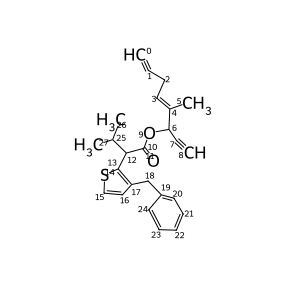 C#CCC=C(C)C(C#C)OC(=O)C(c1sccc1Cc1ccccc1)C(C)C